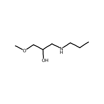 CCCNCC(O)COC